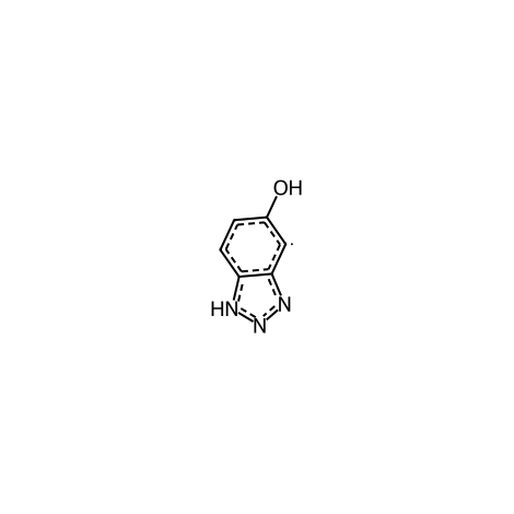 Oc1[c]c2nn[nH]c2cc1